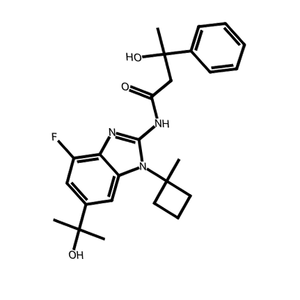 CC(C)(O)c1cc(F)c2nc(NC(=O)CC(C)(O)c3ccccc3)n(C3(C)CCC3)c2c1